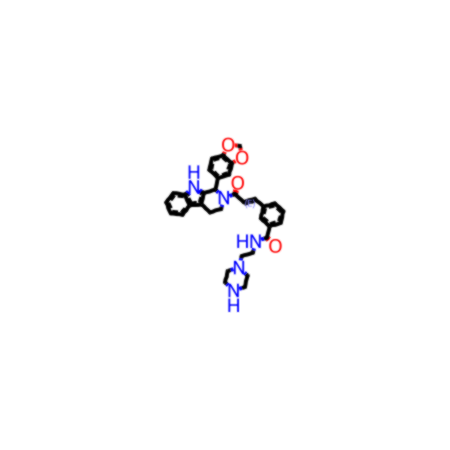 O=C(NCCN1CCNCC1)c1cccc(/C=C/C(=O)N2CCc3c([nH]c4ccccc34)C2c2ccc3c(c2)OCO3)c1